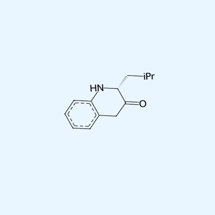 CC(C)C[C@H]1Nc2ccccc2CC1=O